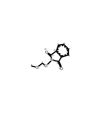 COCON1C(=O)c2ccccc2C1=O